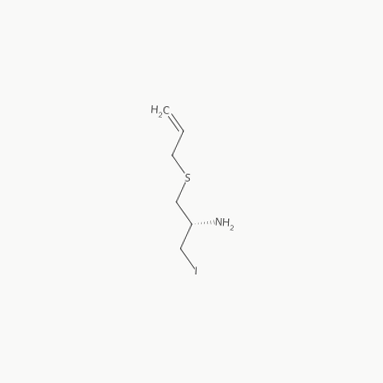 C=CCSC[C@H](N)CI